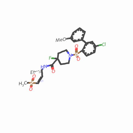 CC[C@@H](/C=C\S(C)(=O)=O)NC(=O)C1(F)CCN(S(=O)(=O)c2ccc(Cl)cc2-c2cccc(OC)c2)CC1